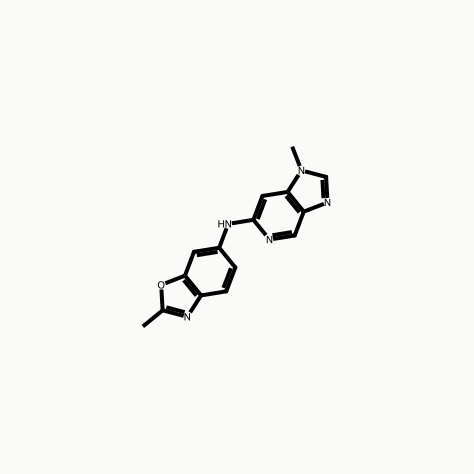 Cc1nc2ccc(Nc3cc4c(cn3)ncn4C)cc2o1